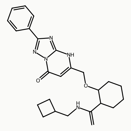 C=C(NCC1CCC1)C1CCCCC1OCc1cc(=O)n2nc(-c3ccccc3)nc2[nH]1